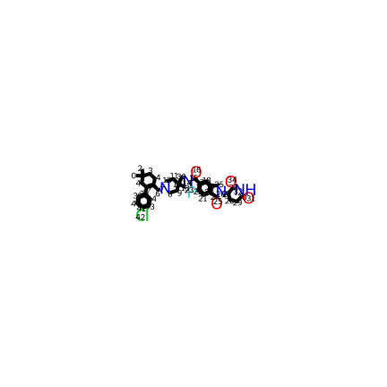 CC1(C)CCC(CN2CCC3(CC2)CN(C(=O)c2cc4c(cc2F)C(=O)N(C2CCC(=O)NC2=O)C4)C3)=C(c2ccc(Cl)cc2)C1